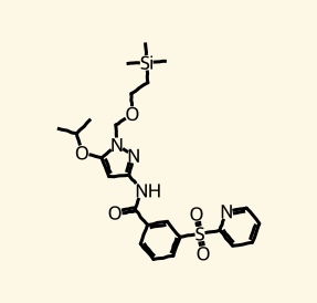 CC(C)Oc1cc(NC(=O)c2cccc(S(=O)(=O)c3ccccn3)c2)nn1COCC[Si](C)(C)C